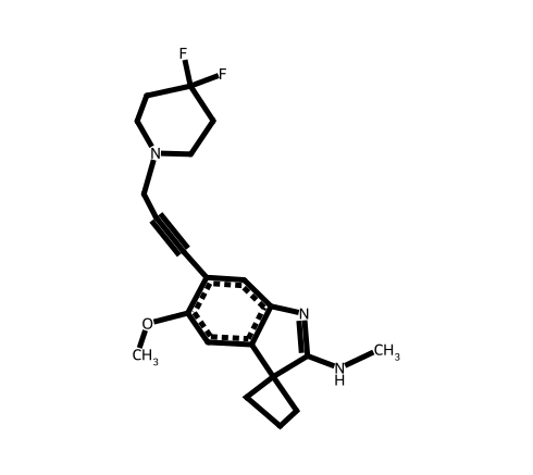 CNC1=Nc2cc(C#CCN3CCC(F)(F)CC3)c(OC)cc2C12CCC2